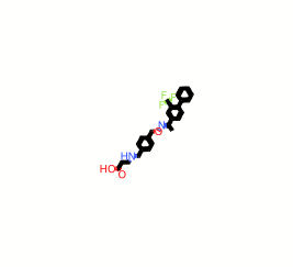 C/C(=N\OCc1ccc(CNCCC(=O)O)cc1)c1ccc(-c2ccccc2)c(C(F)(F)F)c1